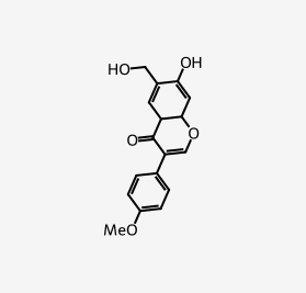 COc1ccc(C2=COC3C=C(O)C(CO)=CC3C2=O)cc1